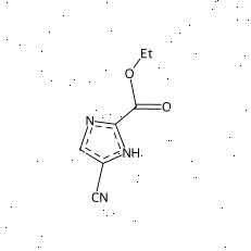 CCOC(=O)c1ncc(C#N)[nH]1